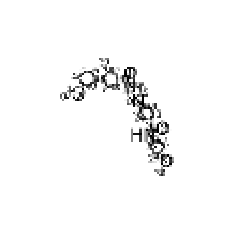 CCOc1cccc(-c2ccc(C(=O)N3CCN(c4ccc(C(=O)Nc5ccc(OC)cc5)cc4)CC3)cc2C)c1